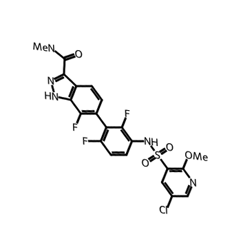 CNC(=O)c1n[nH]c2c(F)c(-c3c(F)ccc(NS(=O)(=O)c4cc(Cl)cnc4OC)c3F)ccc12